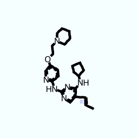 C/C=C/c1cnc(Nc2ccc(OCCN3CCCCC3)cn2)nc1NC1CCCC1